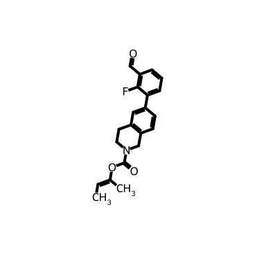 C/C=C(\C)OC(=O)N1CCc2cc(-c3cccc(C=O)c3F)ccc2C1